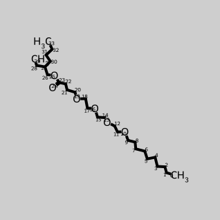 CCCCCCCCCCOCCOCCOCCOCCCC(=O)OCC(CC)CCCC